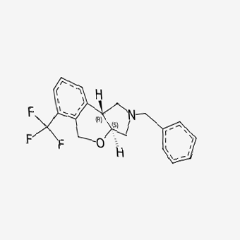 FC(F)(F)c1cccc2c1CO[C@@H]1CN(Cc3ccccc3)C[C@@H]21